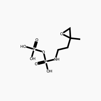 CC1(CCNP(=O)(O)OP(=O)(O)O)CO1